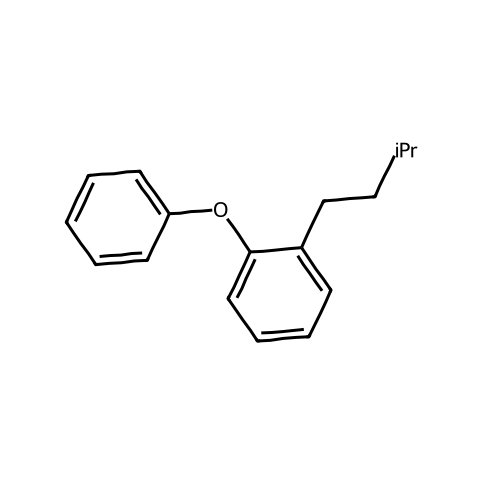 CC(C)CCc1ccccc1Oc1ccccc1